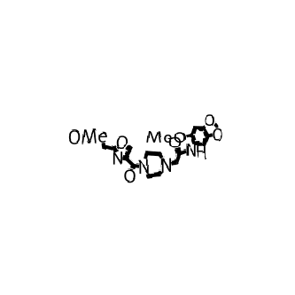 COCc1nc(C(=O)N2CCN(CC(=O)Nc3cc4c(cc3OC)OCO4)CC2)co1